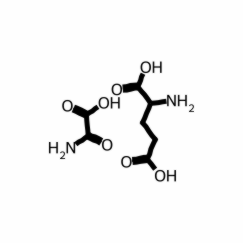 NC(=O)C(=O)O.NC(CCC(=O)O)C(=O)O